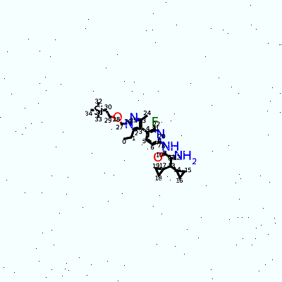 CCc1c(-c2ccc(NC(=O)[C@@H](N)C(C3CC3)C3CC3)nc2F)c(C)nn1COCC[Si](C)(C)C